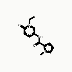 CCn1cc(NC(=O)c2cccn2C)ccc1=O